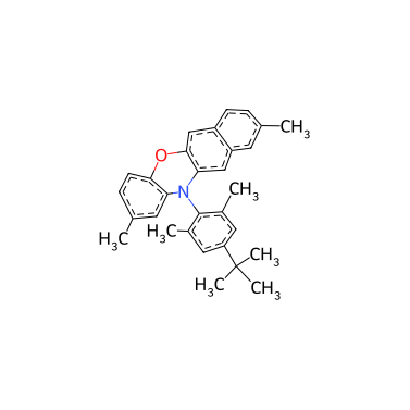 Cc1ccc2c(c1)N(c1c(C)cc(C(C)(C)C)cc1C)c1cc3cc(C)ccc3cc1O2